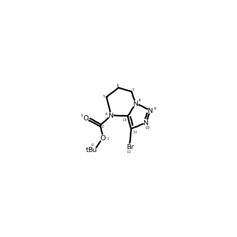 CC(C)(C)OC(=O)N1CCCn2nnc(Br)c21